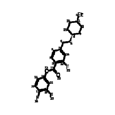 CC[C@H]1CC[C@H](CCc2ccc(C(=O)Oc3ccc(F)c(F)c3)c(F)c2)CC1